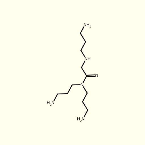 NCCCNCC(=O)N(CCCN)CCCN